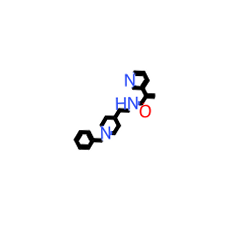 C=C(C(=O)NCCC1CCN(Cc2ccccc2)CC1)c1cccnc1